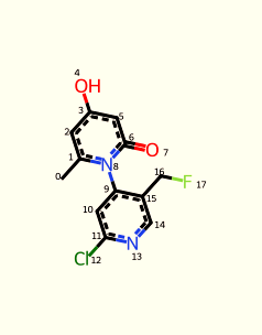 Cc1cc(O)cc(=O)n1-c1cc(Cl)ncc1CF